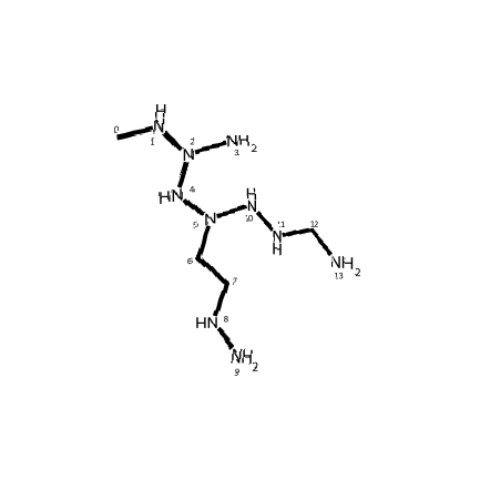 CNN(N)NN(CCNN)NNCN